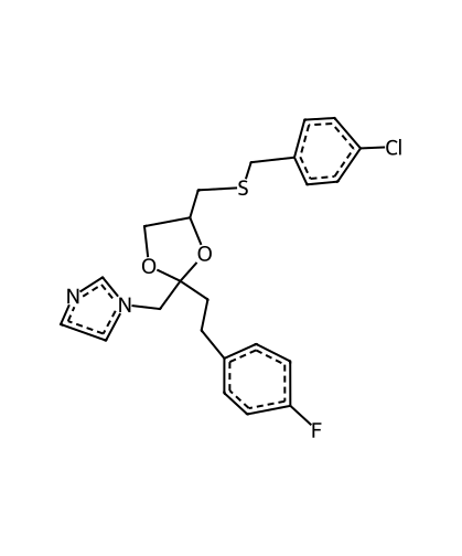 Fc1ccc(CCC2(Cn3ccnc3)OCC(CSCc3ccc(Cl)cc3)O2)cc1